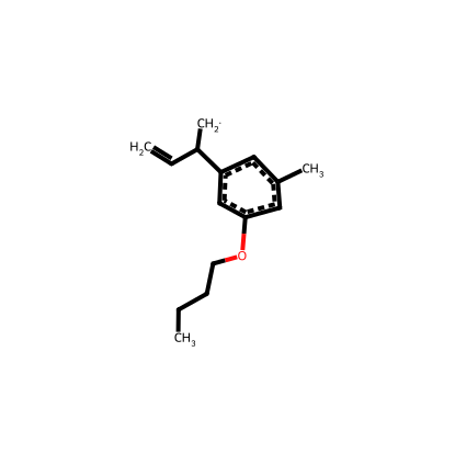 [CH2]C(C=C)c1cc(C)cc(OCCCC)c1